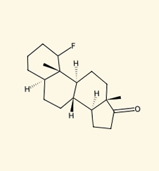 C[C@]12C(F)CCC[C@@H]1CC[C@@H]1[C@@H]2CC[C@]2(C)C(=O)CC[C@@H]12